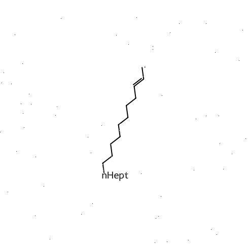 [CH2]C=CCCCCCCCCCCCCCCC